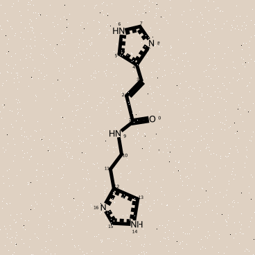 O=C(C=Cc1c[nH]cn1)NCCc1c[nH]cn1